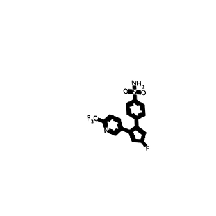 NS(=O)(=O)c1ccc(C2=CC(F)C=C2c2ccc(C(F)(F)F)nc2)cc1